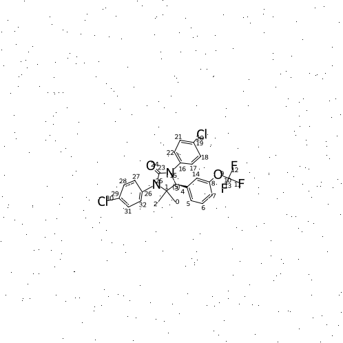 CC1(C)[C@H](c2cccc(OC(F)(F)F)c2)N(c2ccc(Cl)cc2)C(=O)N1c1ccc(Cl)cc1